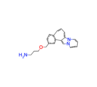 NCCCOCc1ccc2c(c1)C1=CN3C=CC=CN3C1=CC=C2